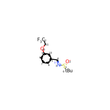 CC(C)(C)[S+]([O-])/N=C/c1cccc(OCC(F)(F)F)c1